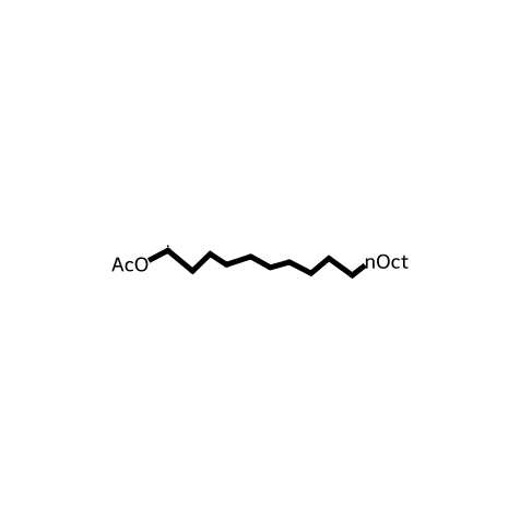 CCCCCCCCCCCCCCCCC[CH]OC(C)=O